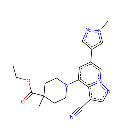 CCOC(=O)C1(C)CCN(c2cc(-c3cnn(C)c3)cn3ncc(C#N)c23)CC1